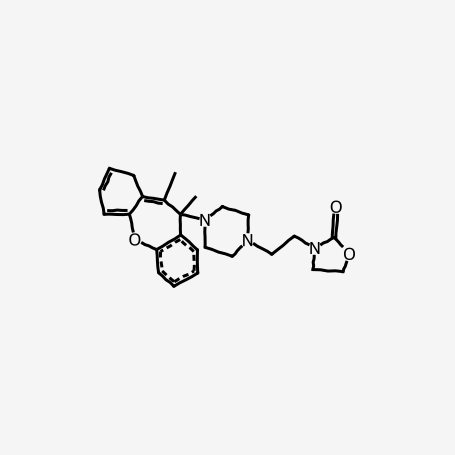 CC1=C2CC=CC=C2Oc2ccccc2C1(C)N1CCN(CCN2CCOC2=O)CC1